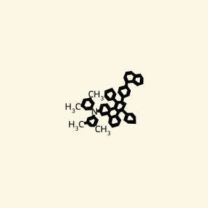 Cc1cc(C)cc(N(c2cc(C)cc(C)c2)c2ccc3c(c2)c2ccccc2c2c(-c4ccccc4)cc(-c4ccc(-c5cccc6ccccc56)cc4)c(-c4ccccc4)c32)c1